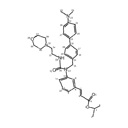 CC(C)OC(=O)/C=C/c1cncc(N(Cc2ccc(-c3ccc(N(C)C)cc3)cc2)C(=O)NCCN2CCOCC2)c1